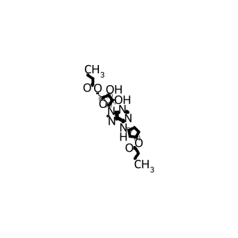 CCCC(=O)OC[C@H]1O[C@@H](n2cnc3c(N[C@@H]4CC[C@@H](OC(=O)CCC)C4)ncnc32)[C@H](O)[C@H]1O